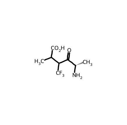 CC(C(=O)O)C(C(=O)[C@H](C)N)C(F)(F)F